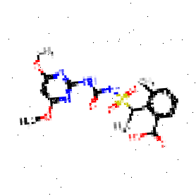 COc1cc(OC)nc(NC(=O)NS(=O)(=O)C(C)c2c(C)cccc2C(=O)O)n1